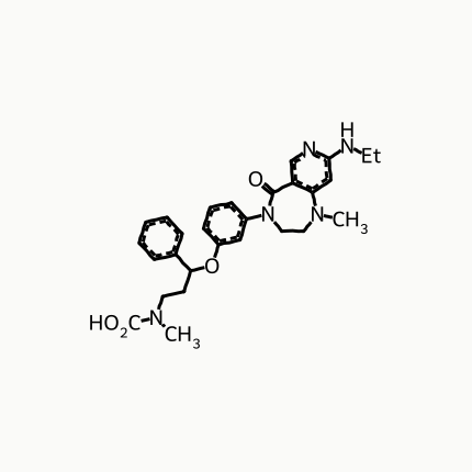 CCNc1cc2c(cn1)C(=O)N(c1cccc(OC(CCN(C)C(=O)O)c3ccccc3)c1)CCN2C